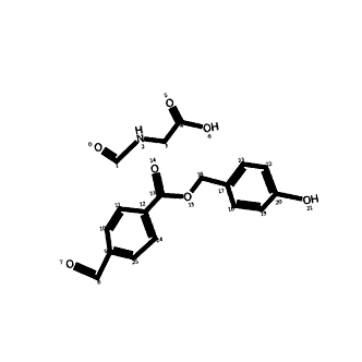 O=CNCC(=O)O.O=Cc1ccc(C(=O)OCc2ccc(O)cc2)cc1